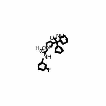 C[N@+]1(CC(=O)NCc2cccc(F)c2)CCC(C(C(N)=O)(c2ccccc2)c2ccccc2)C1